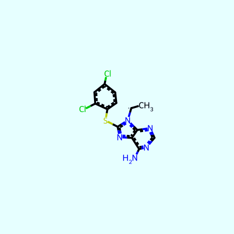 C[CH]n1c(Sc2ccc(Cl)cc2Cl)nc2c(N)ncnc21